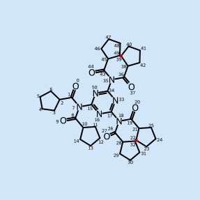 O=C(C1CCCC1)N(C(=O)C1CCCC1)c1nc(N(C(=O)C2CCCC2)C(=O)C2CCCC2)nc(N(C(=O)C2CCCC2)C(=O)C2CCCC2)n1